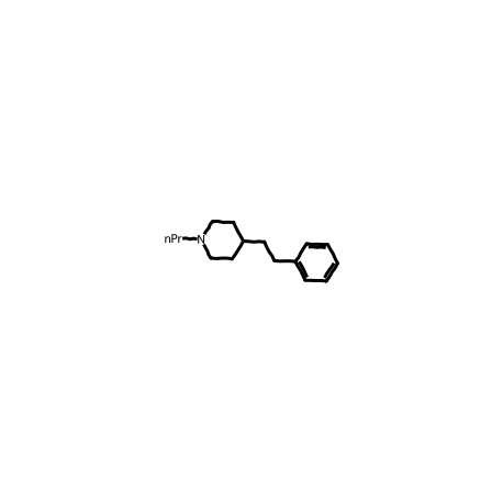 [CH2]CCN1CCC(CCc2ccccc2)CC1